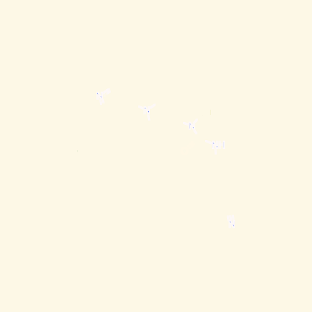 N#Cc1ccc(NC(=O)N(S)C2CCN(c3ccnc4cc(Cl)ccc34)CC2)cc1